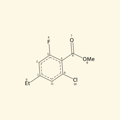 CCc1cc(F)c(C(=O)OC)c(Cl)c1